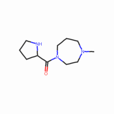 CN1CCCN(C(=O)C2CCCN2)CC1